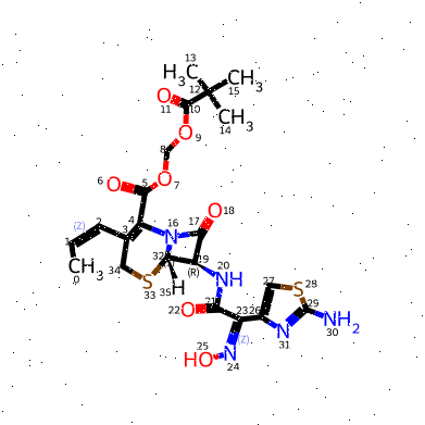 C/C=C\C1=C(C(=O)OCOC(=O)C(C)(C)C)N2C(=O)[C@@H](NC(=O)/C(=N\O)c3csc(N)n3)[C@@H]2SC1